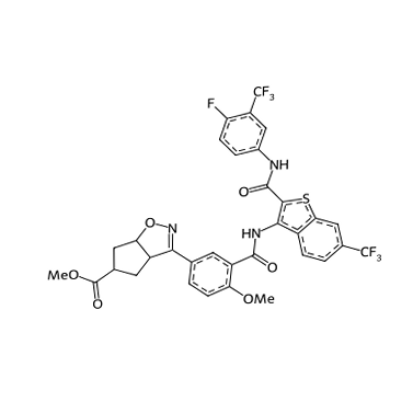 COC(=O)C1CC2ON=C(c3ccc(OC)c(C(=O)Nc4c(C(=O)Nc5ccc(F)c(C(F)(F)F)c5)sc5cc(C(F)(F)F)ccc45)c3)C2C1